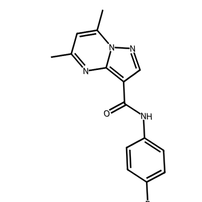 Cc1cc(C)n2ncc(C(=O)Nc3ccc(F)cc3)c2n1